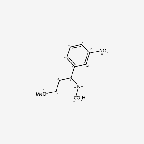 COCCC(NC(=O)O)c1cccc([N+](=O)[O-])c1